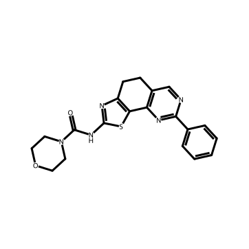 O=C(Nc1nc2c(s1)-c1nc(-c3ccccc3)ncc1CC2)N1CCOCC1